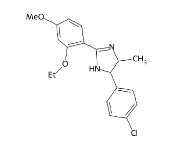 CCOc1cc(OC)ccc1C1=NC(C)C(c2ccc(Cl)cc2)N1